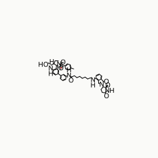 Cc1ccc(S(=O)(=O)N2CC[C@@H]3[C@H](CO)Nc4ccc(-c5cccc(NC(=O)CCCCCCCNc6cccc7c6CN(C6CCC(=O)NC6=O)C7=O)c5)cc4[C@@H]32)cc1